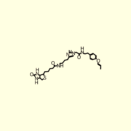 CC=COc1ccc(CCNC(=O)Cn2cc(CCCCNC(=O)CCCCC3SCC4NC(=O)NC43)nn2)cc1